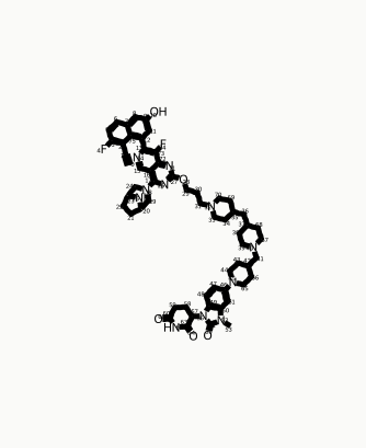 C#Cc1c(F)ccc2cc(O)cc(-c3ncc4c(N5CC6CCC(C5)N6)nc(OCCCN5CCC(CC6CCN(CC7CCN(c8ccc9c(c8)n(C)c(=O)n9C8CCC(=O)NC8=O)CC7)CC6)CC5)nc4c3F)c12